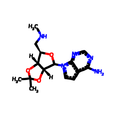 CNC[C@H]1OC(n2ccc3c(N)ncnc32)[C@@H]2OC(C)(C)O[C@H]12